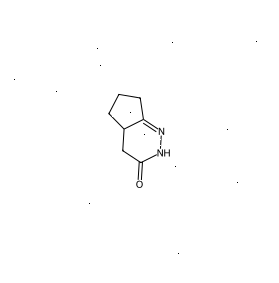 O=C1CC2CCCC2=NN1